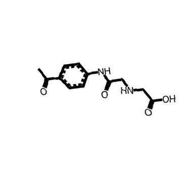 CC(=O)c1ccc(NC(=O)CNCC(=O)O)cc1